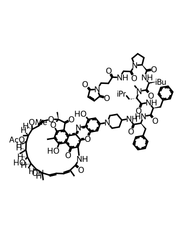 CC[C@H](C)[C@H](NC(=O)[C@@H]1CCCN1C(=O)CNC(=O)CCN1C(=O)C=CC1=O)C(=O)N(C)[C@@H](CC(C)C)C(=O)N[C@@H](Cc1ccccc1)C(=O)N[C@@H](Cc1ccccc1)C(=O)NC1CCN(c2cc(O)c3nc4c5c6c7c(C)c(O)c5c(=O)c(c-4oc3c2)NC(=O)/C(C)=C\C=C\[C@H](C)[C@H](O)[C@@H](C)[C@@H](O)[C@@H](C)[C@H](OC(C)=O)[C@H](C)[C@@H](OC)/C=C/O[C@@](C)(O7)C6=O)CC1